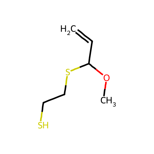 C=CC(OC)SCCS